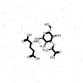 C[C@@H](O[C@@H]1[C@@H](N)[C@@H](O)O[C@H](CO)[C@H]1O)C(=O)O.N[C@H](CCC(=O)O)C(=O)O